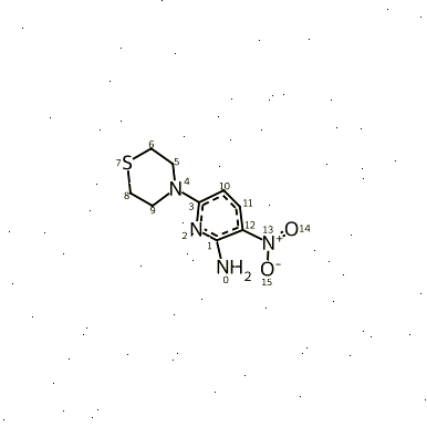 Nc1nc(N2CCSCC2)ccc1[N+](=O)[O-]